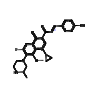 COc1c(N2CCNC(C)C2)c(F)cc2c(=O)c(C(=O)/C=C/c3ccc(O)cc3)cn(C3CC3)c12